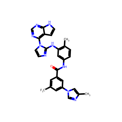 Cc1cn(-c2cc(C(=O)Nc3ccc(C)c(Nc4nccn4-c4ncnc5[nH]ccc45)c3)cc(C(F)(F)F)c2)cn1